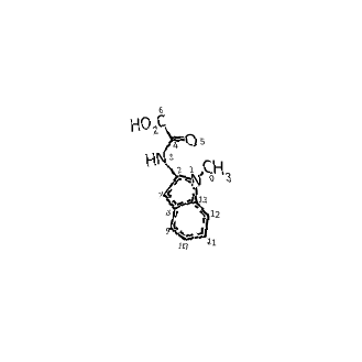 Cn1c(NC(=O)C(=O)O)cc2ccccc21